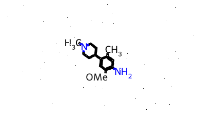 COc1cc(C2CCN(C)CC2)c(C)cc1N